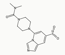 CN(C)C(=O)N1CCN(c2cc([SH](=O)=O)cc3cncn23)CC1